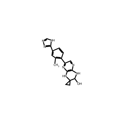 Cc1cc(-c2nnc[nH]2)ccc1-c1cnc2c(n1)NC1(CC1)C(O)N2